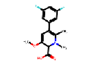 COC1=CC(c2cc(F)cc(F)c2)=C(C)N(C)C1C(=O)O